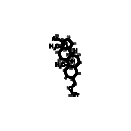 CCCOCC1CC[C@@]2(C)C(CC[C@H]3[C@@H]4CC[C@H](C(C)=O)[C@@]4(C)CC[C@@H]32)C1